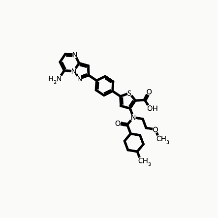 COCCN(C(=O)C1CCC(C)CC1)c1cc(-c2ccc(-c3cc4nccc(N)n4n3)cc2)sc1C(=O)O